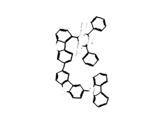 c1ccc(C2=NC(c3ccccc3)NC(c3cccc4sc5cc(-c6ccc7sc8ccc(-n9c%10ccccc%10c%10ccccc%109)cc8c7c6)ccc5c34)N2)cc1